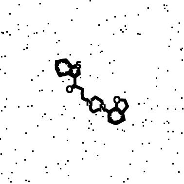 O=C(CCN1CCN(c2cccc3c2OCC3)CC1)c1csc2ccccc12